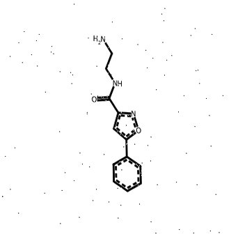 NCCNC(=O)c1cc(-c2ccccc2)on1